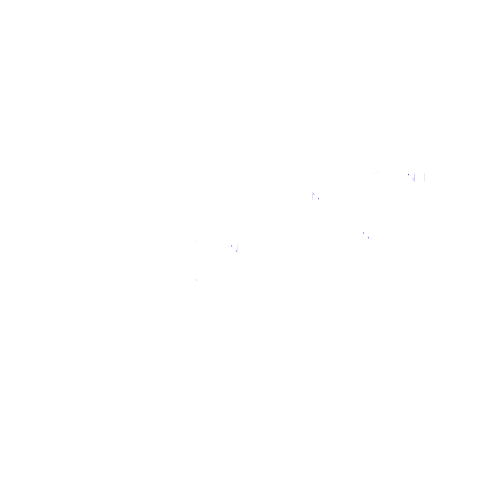 NC(=O)c1n[c]c2c(n1)CN(S(=O)(=O)Cc1ccc(Cl)cc1)CC2